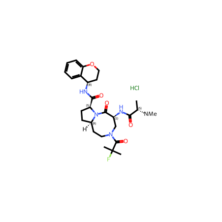 CN[C@@H](C)C(=O)N[C@H]1CN(C(=O)C(C)(C)F)CC[C@H]2CC[C@@H](C(=O)N[C@@H]3CCOc4ccccc43)N2C1=O.Cl